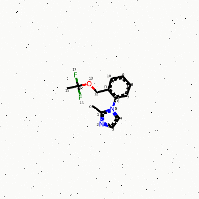 Cc1nccn1-c1ccccc1COC(C)(F)F